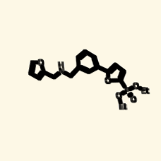 CCOP(=O)(OCC)c1ccc(-c2cccc(CNCc3ccco3)c2)o1